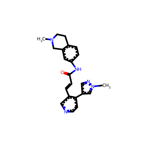 CN1CCc2ccc(NC(=O)C=Cc3cnccc3-c3cnn(C)c3)cc2C1